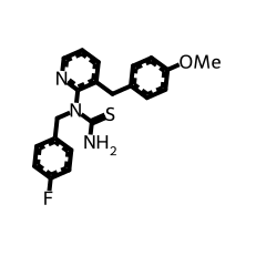 COc1ccc(Cc2cccnc2N(Cc2ccc(F)cc2)C(N)=S)cc1